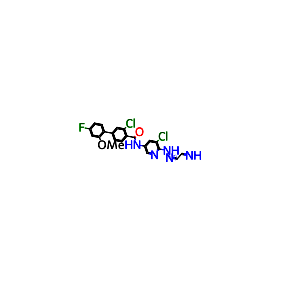 COc1cc(F)ccc1-c1ccc(C(=O)Nc2cnc(N/N=C\C=N)c(Cl)c2)c(Cl)c1